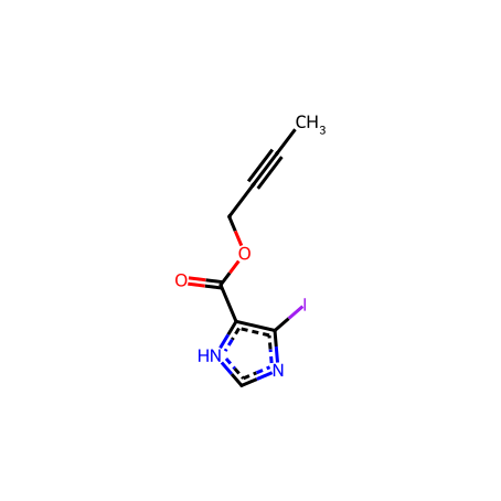 CC#CCOC(=O)c1[nH]cnc1I